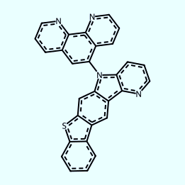 c1cnc2c(c1)cc(-n1c3cc4sc5ccccc5c4cc3c3ncccc31)c1cccnc12